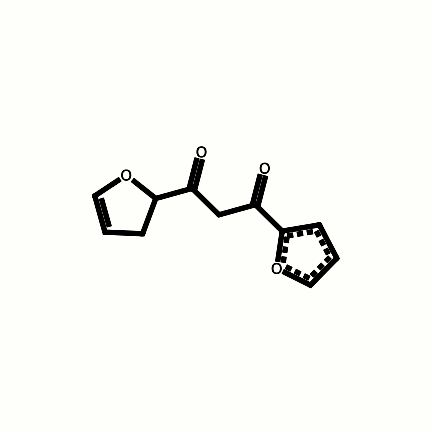 O=C(CC(=O)C1CC=CO1)c1ccco1